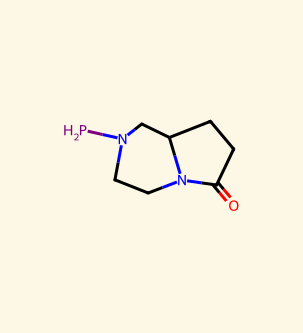 O=C1CCC2CN(P)CCN12